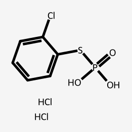 Cl.Cl.O=P(O)(O)Sc1ccccc1Cl